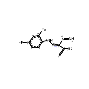 C=C(CC)/C(=C/Nc1ccc(F)cc1F)N=N